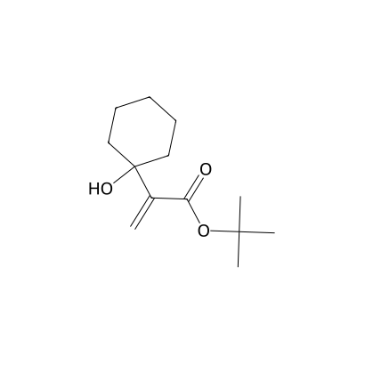 C=C(C(=O)OC(C)(C)C)C1(O)CCCCC1